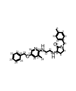 Cc1ccc(CN2CC[C@@H](NCCNc3ncc(OCc4ccccc4)cc3C)C2=O)cc1